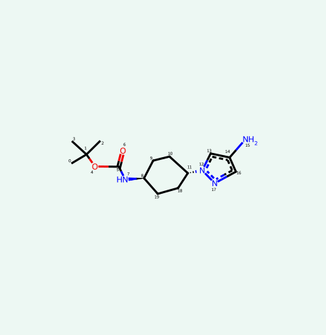 CC(C)(C)OC(=O)N[C@H]1CC[C@H](n2cc(N)cn2)CC1